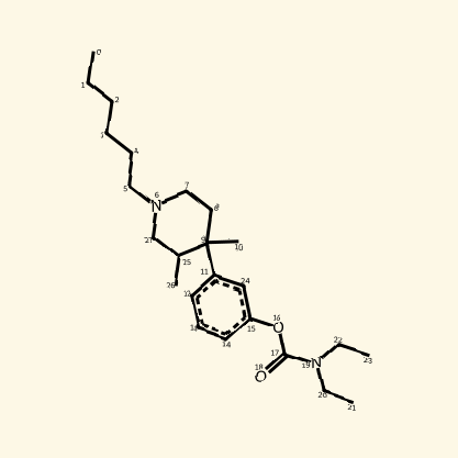 CCCCCCN1CCC(C)(c2cccc(OC(=O)N(CC)CC)c2)C(C)C1